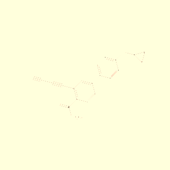 C#CC#Cc1cc(-c2ccc(OC3CC3)cc2)ccc1C(=O)OC